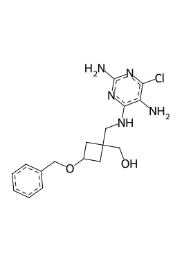 Nc1nc(Cl)c(N)c(NCC2(CO)CC(OCc3ccccc3)C2)n1